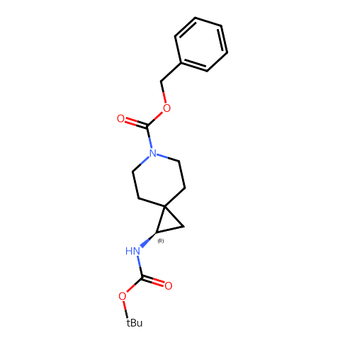 CC(C)(C)OC(=O)N[C@@H]1CC12CCN(C(=O)OCc1ccccc1)CC2